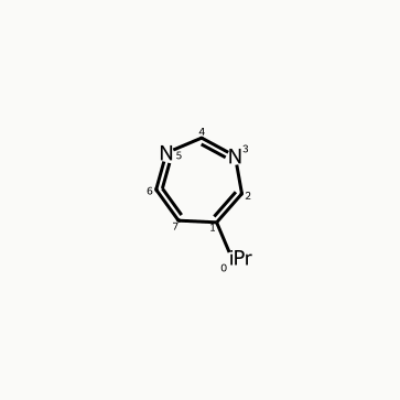 CC(C)C1=CN=CN=C=C1